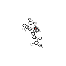 Cc1cc(C)cc(N(c2ccc3c(c2)C([Si](C)(C)C)([Si](C)(C)C)c2cc4cc(N(c5cc(C)cc(C)c5)c5ccccc5C)ccc4cc2-3)c2ccccc2C)c1